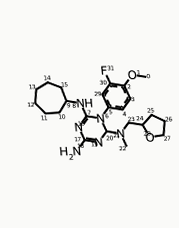 COc1ccc(N2C(NC3CCCCCC3)=NC(N)=NC2N(C)CC2CCCO2)cc1F